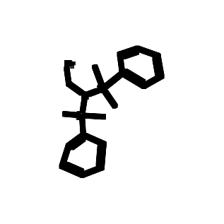 CC(C)CN([Si](C)(C)c1ccccc1)[Si](C)(C)c1ccccc1